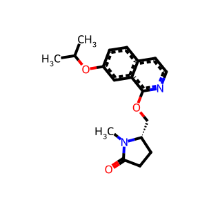 CC(C)Oc1ccc2ccnc(OC[C@@H]3CCC(=O)N3C)c2c1